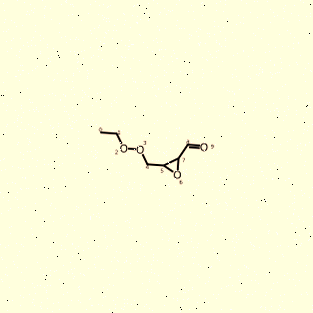 CCOOCC1OC1C=O